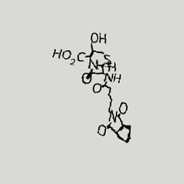 O=C(CCCCN1C(=O)c2ccccc2C1=O)N[C@@H]1C(=O)N2C(C(=O)O)=C(CO)CS[C@@H]12